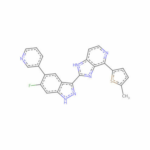 Cc1ccc(-c2nccc3[nH]c(-c4n[nH]c5cc(F)c(-c6cccnc6)cc45)nc23)s1